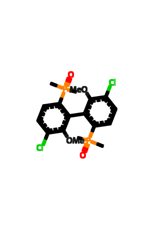 COc1c(Cl)ccc(P(C)(C)=O)c1-c1c(P(C)(C)=O)ccc(Cl)c1OC